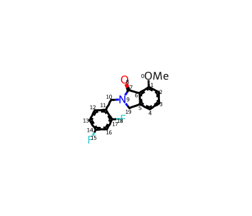 COc1cccc2c1C(=O)N(Cc1ccc(F)cc1F)C2